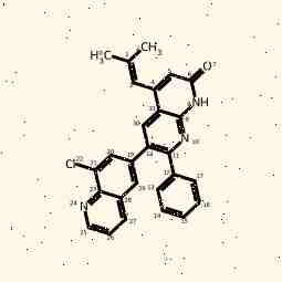 CC(C)=Cc1cc(=O)[nH]c2nc(-c3ccccc3)c(-c3cc(Cl)c4ncccc4c3)cc12